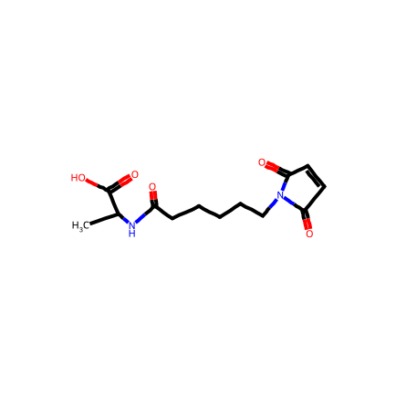 CC(NC(=O)CCCCCN1C(=O)C=CC1=O)C(=O)O